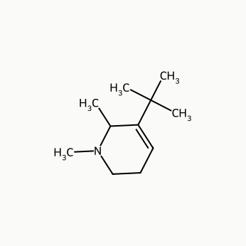 CC1C(C(C)(C)C)=CCCN1C